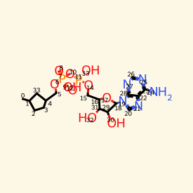 CC1CCC(COP(=O)(O)OP(=O)(O)OCC2OC(n3cnc4c(N)ncnc43)C(O)C2O)C1